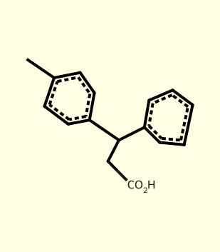 Cc1ccc(C(C[13C](=O)O)c2ccccc2)cc1